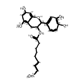 CCCCCCCCCCCCCCCCCC(=O)OC1Cc2c(O)cc(O)cc2OC1c1ccc(O)c(O)c1